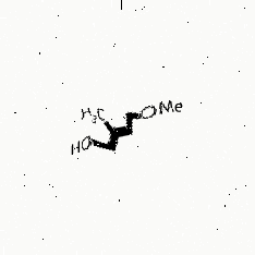 COC/C=C(\C)CO